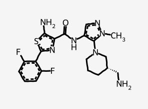 Cn1ncc(NC(=O)c2nc(-c3c(F)cccc3F)sc2N)c1N1CCC[C@@H](CN)C1